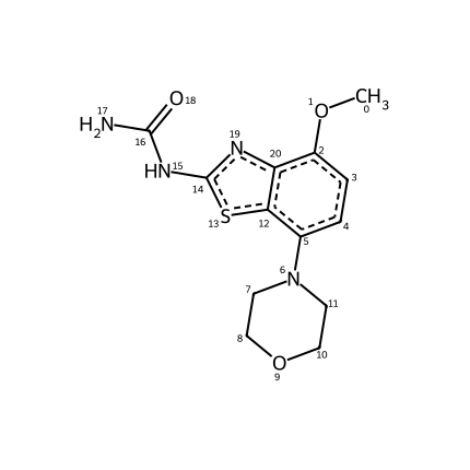 COc1ccc(N2CCOCC2)c2sc(NC(N)=O)nc12